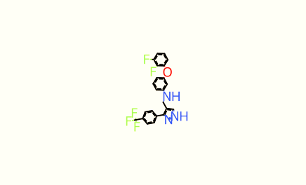 Fc1cccc(Oc2cccc(NCc3c[nH]nc3-c3ccc(C(F)(F)F)cc3)c2)c1F